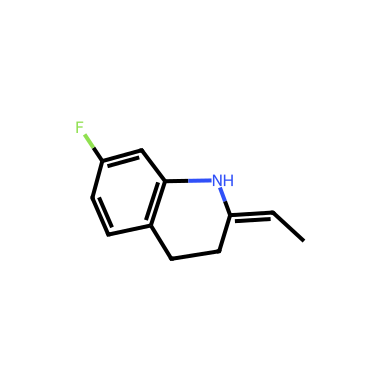 CC=C1CCc2ccc(F)cc2N1